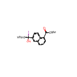 CCCCCC(O)(I)c1ccc2c(C(=O)OC)cccc2c1